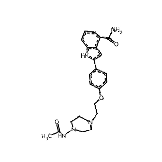 CC(=O)NN1CCN(CCOc2ccc(-c3cc4c(C(N)=O)cccc4[nH]3)cc2)CC1